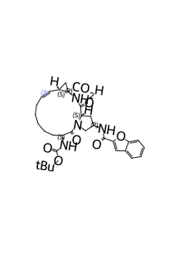 CC(C)(C)OC(=O)N[C@H]1CCCCC/C=C\[C@@H]2C[C@@]2(C(=O)O)NC(=O)[C@@H]2C[C@@H](NC(=O)c3cc4ccccc4o3)CN2C1=O